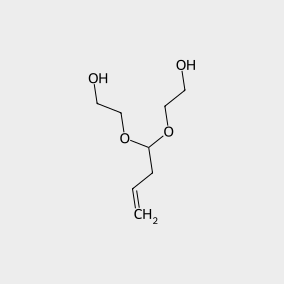 C=CCC(OCCO)OCCO